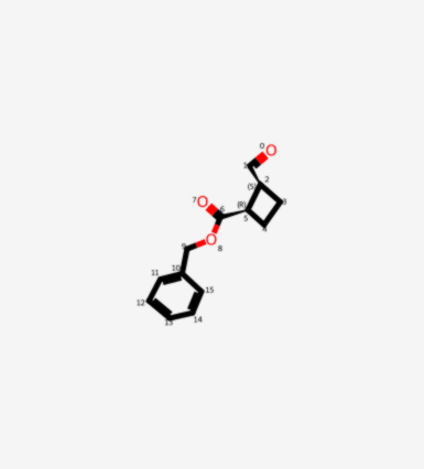 O=C[C@H]1CC[C@H]1C(=O)OCc1ccccc1